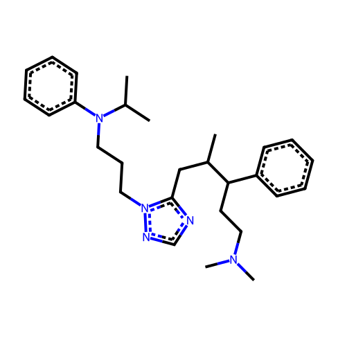 CC(Cc1ncnn1CCCN(c1ccccc1)C(C)C)C(CCN(C)C)c1ccccc1